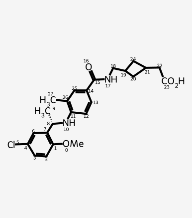 COc1ccc(Cl)cc1[C@H](C)Nc1ccc(C(=O)NCC2CC(CC(=O)O)C2)cc1C